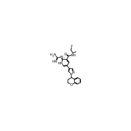 CC(CF)NC(=O)c1cc(-c2cnn(C3CCOc4ccccc43)c2)c[nH]/c1=N\C(=N)N